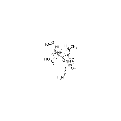 CC(C)C[C@H](NC(=O)[C@H](CCC(=O)O)NC(=O)[C@@H](N)CC(=O)O)C(=O)N[C@@H](CCCCN)C(=O)O